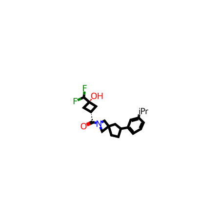 CC(C)c1cccc(C2CCC3(C2)CN(C(=O)[C@H]2C[C@](O)(C(F)F)C2)C3)c1